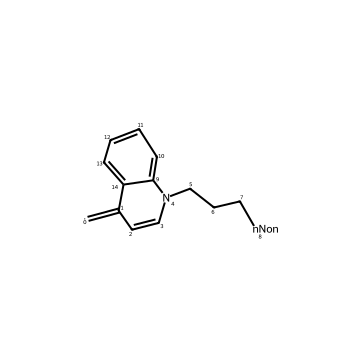 [CH]=C1C=CN(CCCCCCCCCCCC)c2ccccc21